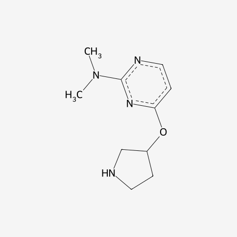 CN(C)c1nccc(OC2CCNC2)n1